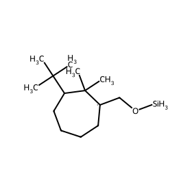 CC(C)(C)C1CCCC[C](CO[SiH3])C1(C)C